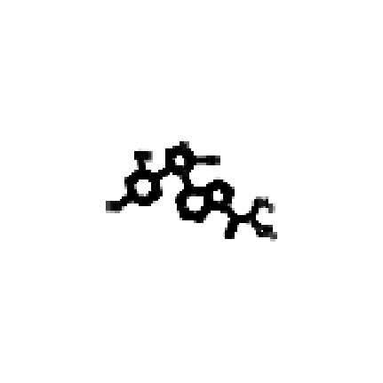 CN(C)C(=O)n1ccc2c(-n3c(-c4ccc(O)cc4O)cnc3S)cccc21